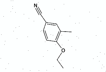 CCOc1ccc(C#N)cc1C